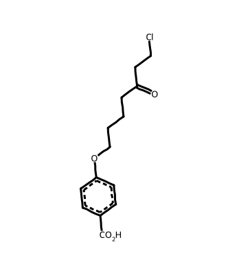 O=C(CCCl)CCCCOc1ccc(C(=O)O)cc1